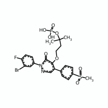 CC(C)(CCOc1c(-c2ccc(S(C)(=O)=O)cc2)cnn(-c2ccc(F)c(Br)c2)c1=O)OP(=O)(O)O